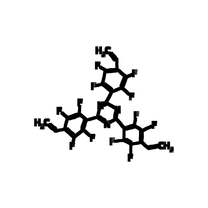 C=Cc1c(F)c(F)c(-c2nc(-c3c(F)c(F)c(C=C)c(F)c3F)nc(-c3c(F)c(F)c(C=C)c(F)c3F)n2)c(F)c1F